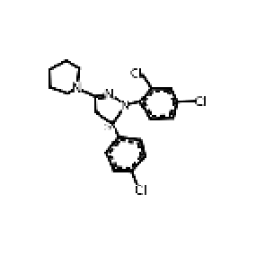 Clc1ccc([C@H]2CC(N3CCCCC3)=NN2c2ccc(Cl)cc2Cl)cc1